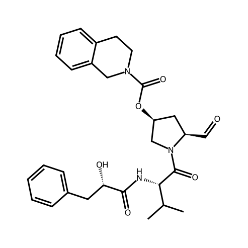 CC(C)[C@H](NC(=O)[C@@H](O)Cc1ccccc1)C(=O)N1C[C@@H](OC(=O)N2CCc3ccccc3C2)C[C@H]1C=O